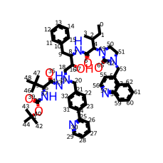 CCC(C)C(C(=O)NC(Cc1ccccc1)C(O)CN(Cc1ccc(-c2ccccn2)cc1)NC(=O)C(NC(=O)OC(C)(C)C)C(C)(C)C)N1CCN(Cc2ccnc3ccccc23)C1=O